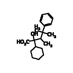 CC(C(C)(C)c1ccccc1)C(O)(C(=O)O)C1CCCCC1